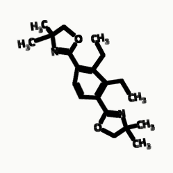 CCc1c(C2=NC(C)(C)CO2)ccc(C2=NC(C)(C)CO2)c1CC